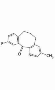 Cc1cnc2c(c1)CCCc1ccc(F)cc1C2=O